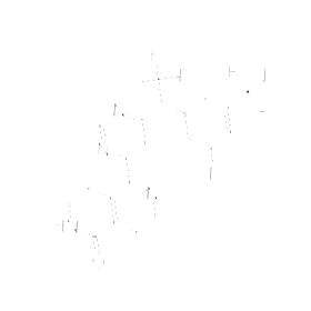 O=C1NCCc2c1ccnc2-c1cc(C(c2cc(F)cc(C(F)(F)F)c2)C(F)(F)F)ncn1